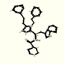 O=C(N[C@H](Cc1c[nH]c2ccccc12)c1nnc(CCc2ccccc2)n1CCc1ccccc1)C1CCOCC1